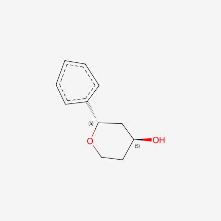 O[C@H]1CCO[C@H](c2ccccc2)C1